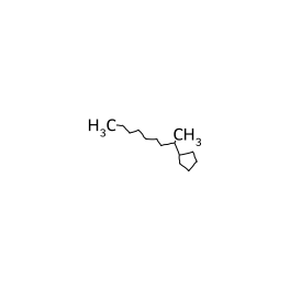 CCCCCCCC(C)C1CCCC1